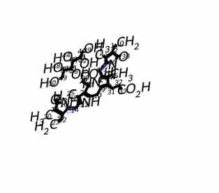 C=CC1=C(C)/C(=C/c2[nH]c(Cc3[nH]c(/C=C4\NC(=O)C(C)=C4C=C)c(C)c3CCC(=O)O)c(CCC(=O)O)c2C)NC1=O.OC[C@@H](O)[C@@H](O)[C@H](O)[C@H](O)CO